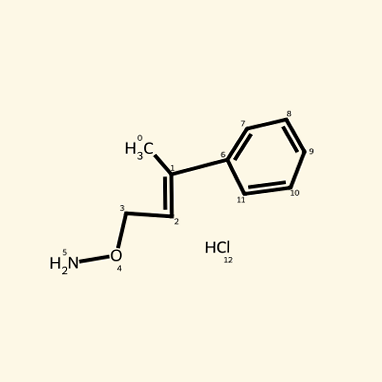 CC(=CCON)c1ccccc1.Cl